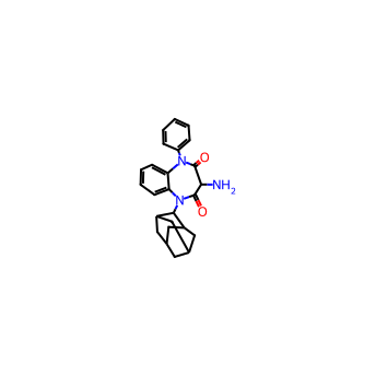 NC1C(=O)N(c2ccccc2)c2ccccc2N(C2C3CC4CC(C3)CC2C4)C1=O